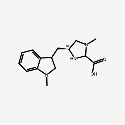 CN1CC(C[C@H]2CN(C)C(C(=O)O)N2)c2ccccc21